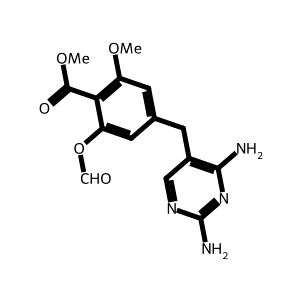 COC(=O)c1c(OC)cc(Cc2cnc(N)nc2N)cc1OC=O